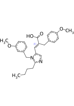 CCCCc1ncc(/C=C(\Cc2ccc(OC)cc2)C(=O)O)n1Cc1cccc(OC)c1